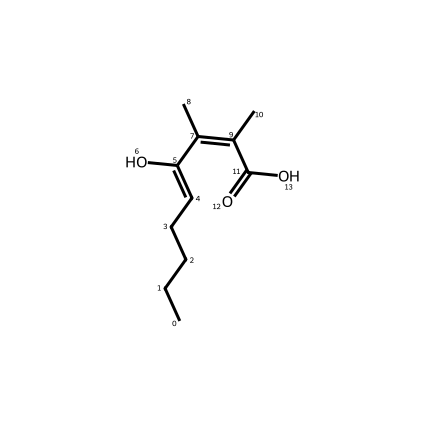 CCCCC=C(O)C(C)=C(C)C(=O)O